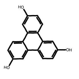 Oc1ccc2c(c1)c1ccc(O)cc1c1ccc(O)cc21